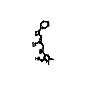 CCC1=C(CNc2cc(C)n(C)c2C=N)N1CC1=C(N2CCCCC2)CC1